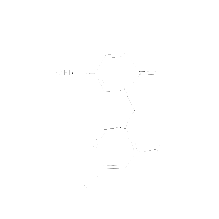 O=Cc1cc(Cl)c(=O)n(Cc2ccc(Cl)cc2Cl)c1